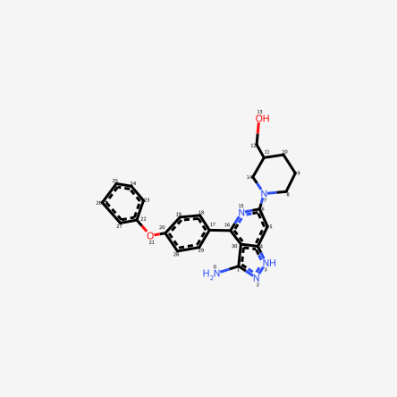 Nc1n[nH]c2cc(N3CCCC(CO)C3)nc(-c3ccc(Oc4ccccc4)cc3)c12